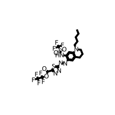 CCCCCN1CCCc2cc(N=Nc3nnc(C(=O)OC(F)(F)C(F)(F)F)s3)c(NS(=O)(=O)C(F)(F)F)cc21